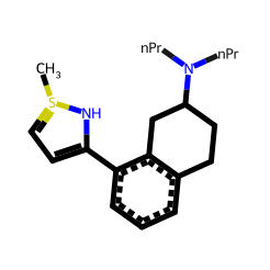 CCCN(CCC)C1CCc2cccc(C3=CC=S(C)N3)c2C1